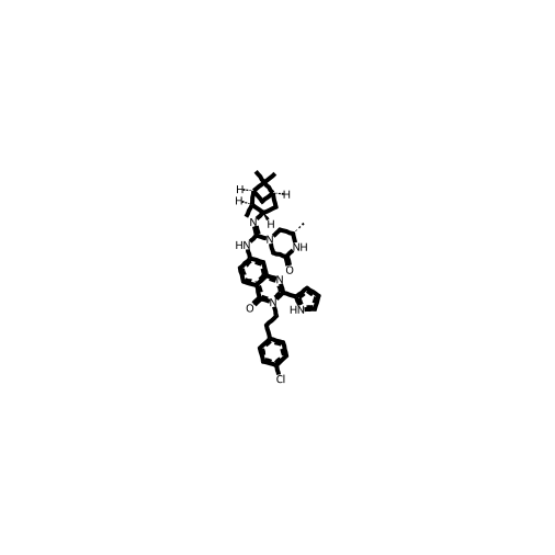 C[C@@H]1[C@@H](/N=C(/Nc2ccc3c(=O)n(CCc4ccc(Cl)cc4)c(-c4ccc[nH]4)nc3c2)N2CC(=O)N[C@@H](C)C2)C[C@H]2C[C@@H]1C2(C)C